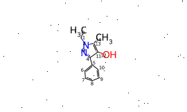 CCn1nc(-c2ccccc2)c(O)c1C